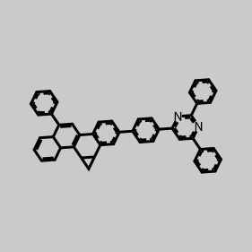 C1=CC2C(c3ccccc3)=CC3=C(C2C=C1)C1CC1c1cc(-c2ccc(-c4cc(-c5ccccc5)nc(-c5ccccc5)n4)cc2)ccc13